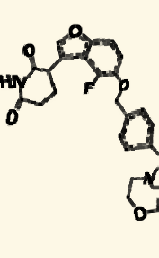 O=C1CCC(c2coc3ccc(OCc4ccc(CN5CCOCC5)cc4)c(F)c23)C(=O)N1